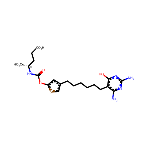 Nc1nc(N)c(CCCCCCc2csc(OC(=O)N[C@@H](CCC(=O)O)C(=O)O)c2)c(O)n1